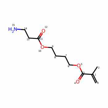 C=C(C)C(=O)OCCCCOC(=O)CCN